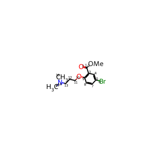 COC(=O)c1cc(Br)ccc1OCCCN(C)C